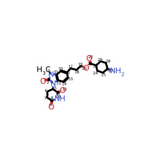 Cn1c(=O)n(C2CCC(=O)NC2=O)c2ccc(CCCOC(=O)C3CCC(N)CC3)cc21